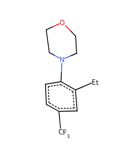 CCc1cc(C(F)(F)F)ccc1N1CCOCC1